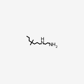 CCCC(C)(C)CCCNCCN